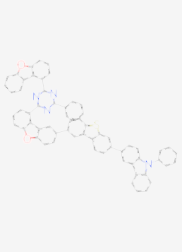 c1ccc(-c2nc(-c3cccc4oc5ccccc5c34)nc(-c3cccc4oc5ccc(-c6ccc7sc8cc(-c9ccc%10c(c9)c9ccccc9n%10-c9ccccc9)ccc8c7c6)cc5c34)n2)cc1